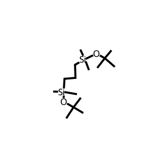 CC(C)(C)O[Si](C)(C)CCC[Si](C)(C)OC(C)(C)C